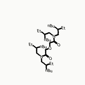 CCCCC(CC)CN(CC(CC)CCCC)C(=O)COCC(=O)N(CC(CC)CCCC)CC(CC)CCCC